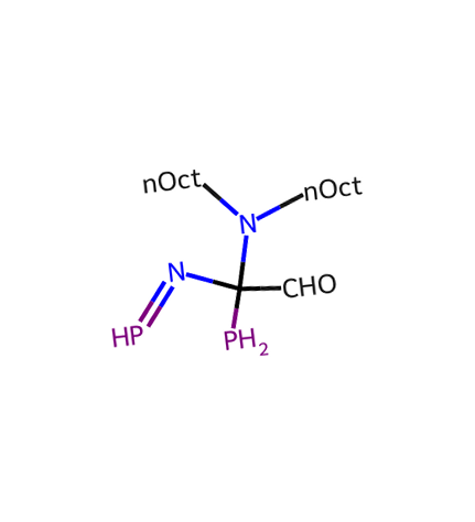 CCCCCCCCN(CCCCCCCC)C(P)(C=O)N=P